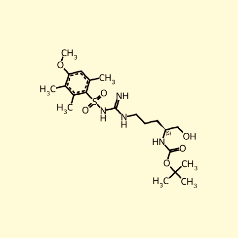 COc1cc(C)c(S(=O)(=O)NC(=N)NCCC[C@@H](CO)NC(=O)OC(C)(C)C)c(C)c1C